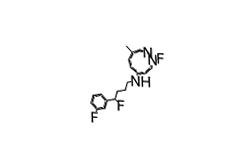 Cc1ccc(NCCCC(F)c2cccc(F)c2)ccn(F)nc1